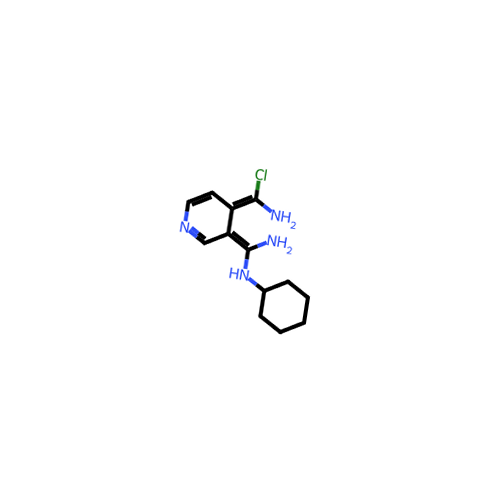 N/C(NC1CCCCC1)=c1/cncc/c1=C(/N)Cl